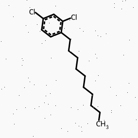 CCCCCCCCCCc1ccc(Cl)cc1Cl